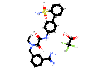 CC(C)CN(Cc1cccc(C(=N)N)c1)C(=O)C(=O)Nc1ccc(-c2ccccc2S(N)(=O)=O)cc1.O=C(O)C(F)(F)F